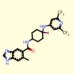 Cc1cc2[nH]cnc2cc1C(=O)NC1CCC(I)(Nc2cc(C(F)(F)F)nc(C(F)(F)F)c2)CC1